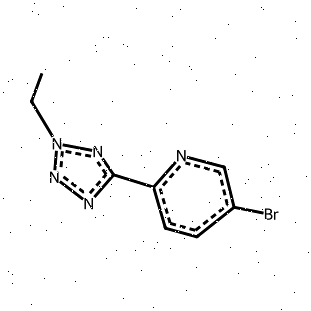 CCn1nnc(-c2ccc(Br)cn2)n1